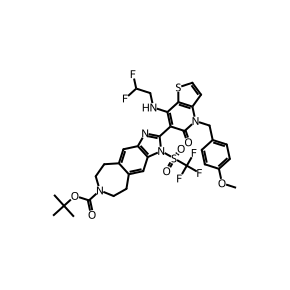 COc1ccc(Cn2c(=O)c(-c3nc4cc5c(cc4n3S(=O)(=O)C(F)(F)F)CCN(C(=O)OC(C)(C)C)CC5)c(NCC(F)F)c3sccc32)cc1